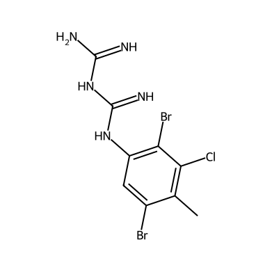 Cc1c(Br)cc(NC(=N)NC(=N)N)c(Br)c1Cl